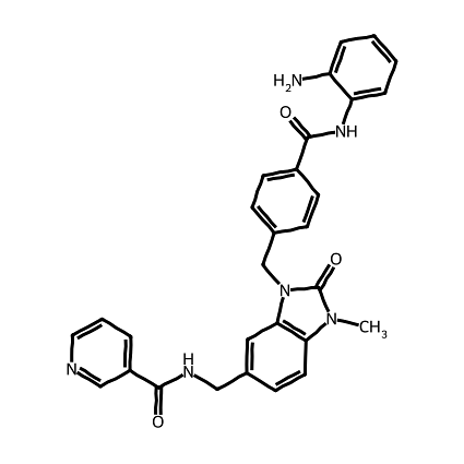 Cn1c(=O)n(Cc2ccc(C(=O)Nc3ccccc3N)cc2)c2cc(CNC(=O)c3cccnc3)ccc21